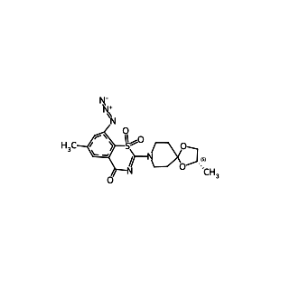 Cc1cc(N=[N+]=[N-])c2c(c1)C(=O)N=C(N1CCC3(CC1)OC[C@H](C)O3)S2(=O)=O